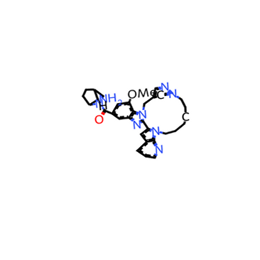 COc1cc(C(=O)N2CC3CCC2[C@@H]3N)cc2nc3n(c12)Cc1cnn(c1)CCCCCCn1c-3cc2cccnc21